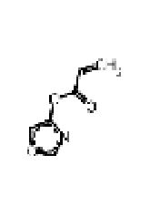 C=CC(=O)Oc1cocn1